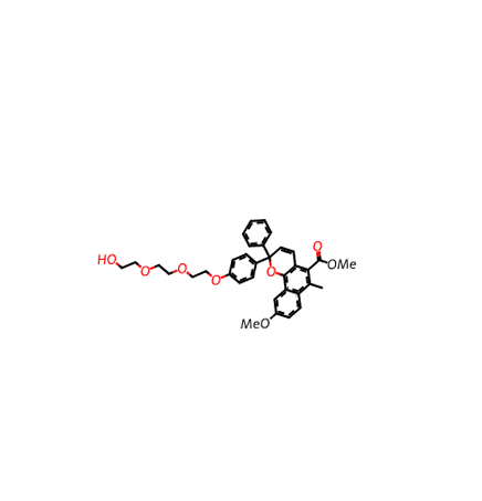 COC(=O)c1c2c(c3cc(OC)ccc3c1C)OC(c1ccccc1)(c1ccc(OCCOCCOCCO)cc1)C=C2